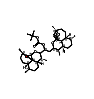 C[C@H]1[C@@H](C[C@H](OC(=O)OC(C)(C)C)C2O[C@@H]3O[C@]4(C)CC[C@H]5[C@H](C)CC[C@@H]([C@H]2C)[C@@]35OO4)O[C@@H]2O[C@]3(C)CC[C@H]4[C@H](C)CC[C@@H]1[C@@]24OO3